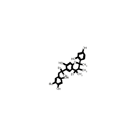 CCC(C)c1cc(CC(C)(CC)c2cc3c(cc2O)OC(C)(c2ccc(O)cc2O)C(C)C3(C)CC)c(O)cc1O